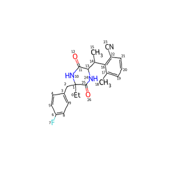 CCC1(Cc2ccc(F)cc2)NC(=O)C(C(C)c2c(C)cccc2C#N)NC1=O